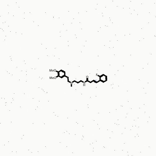 COc1ccc(CCN(C)CCCNC(=O)C/C=C/c2ccccc2F)cc1OC